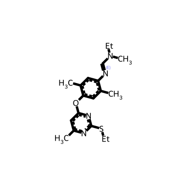 CCSc1nc(C)cc(Oc2cc(C)c(/N=C/N(C)CC)cc2C)n1